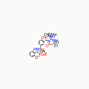 CCC1(CC)CC(=O)N([C@H]2c3cc(C(=O)N[C@@H]4c5ccccc5OC[C@]4(C)O)ccc3O[C@@]2(C)COC)C(=N)N1